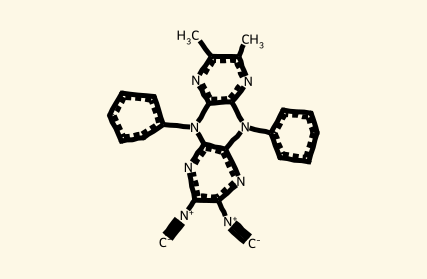 [C-]#[N+]c1nc2c(nc1[N+]#[C-])N(c1ccccc1)c1nc(C)c(C)nc1N2c1ccccc1